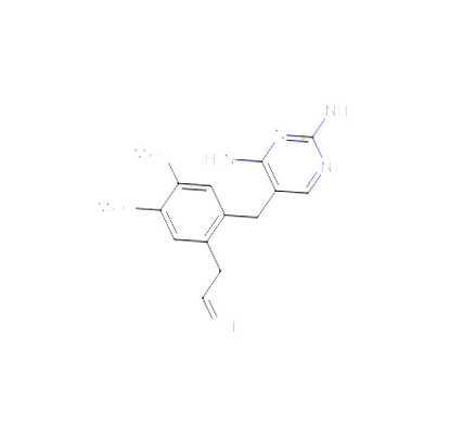 C=CCc1cc(OC)c(OC)cc1Cc1cnc(N)nc1N